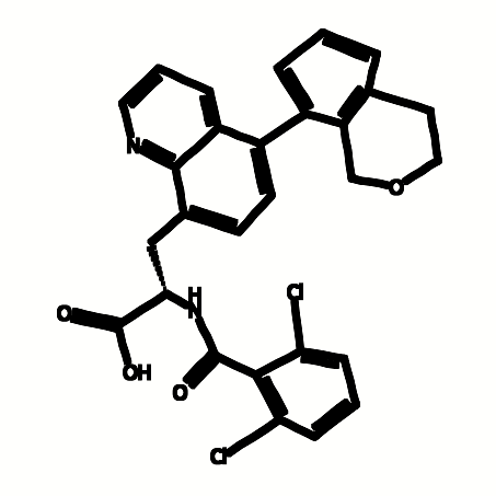 O=C(N[C@@H](Cc1ccc(-c2cccc3c2COCC3)c2cccnc12)C(=O)O)c1c(Cl)cccc1Cl